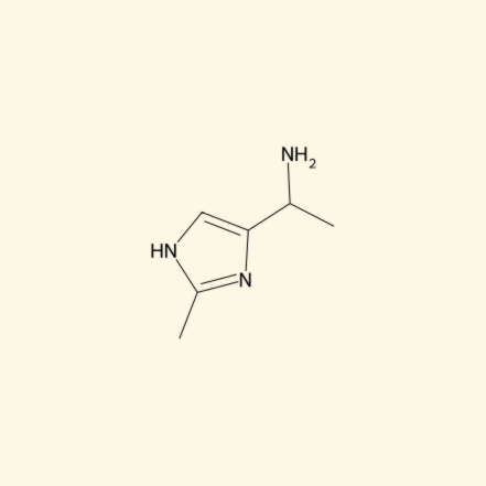 Cc1nc(C(C)N)c[nH]1